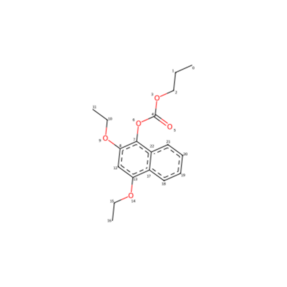 CCCOC(=O)Oc1c(OCC)cc(OCC)c2ccccc12